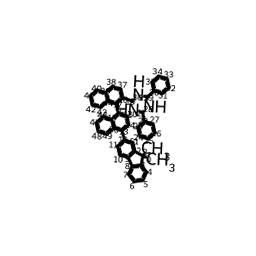 CC1(C)c2ccccc2-c2ccc(-c3ccc(-c4c(C5NC(c6ccccc6)NC(c6ccccc6)N5)ccc5ccccc45)c4ccccc34)cc21